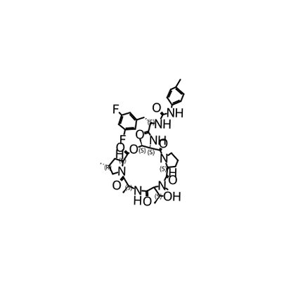 Cc1ccc(NC(=O)N[C@@H](Cc2cc(F)cc(F)c2)C(=O)N[C@@H]2C(=O)N3CCC[C@H]3C(=O)N(C)C([C@H](C)O)C(=O)N[C@@H](C)C(=O)N3C[C@H](C)C[C@H]3C(=O)O[C@H]2C)cc1